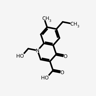 CCc1cc2c(=O)c(C(=O)O)cn(CO)c2cc1C